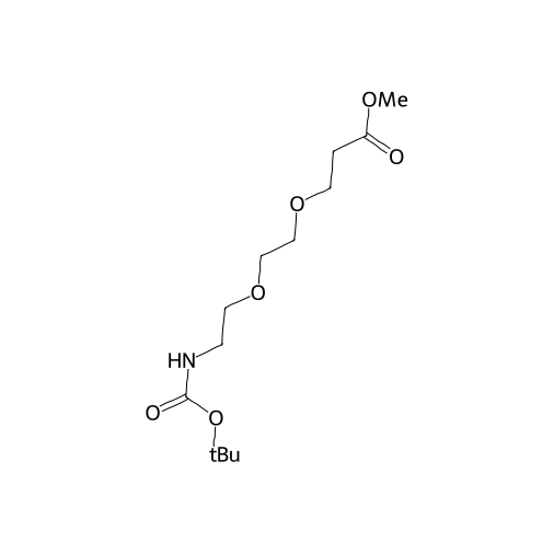 COC(=O)CCOCCOCCNC(=O)OC(C)(C)C